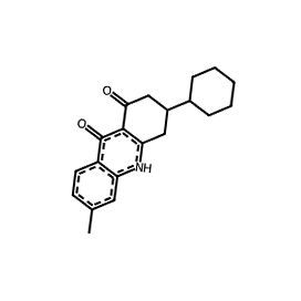 Cc1ccc2c(=O)c3c([nH]c2c1)CC(C1CCCCC1)CC3=O